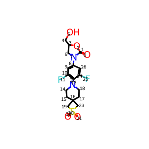 O=C1OC(CO)CN1c1cc(F)c(N2CCC3(CC2)CS(=O)(=O)C3)c(F)c1